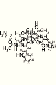 CC(=O)N[C@@H](CCCCN)C(=O)N[C@@H](Cc1c[nH]c2ccccc12)C(=O)N[C@H](C(=O)N[C@H](C(=O)N[C@@H](Cc1c[nH]cn1)C(=O)O)[C@@H](C)O)C(C)C